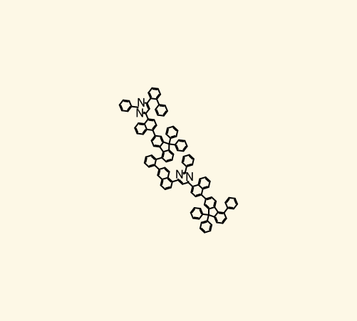 c1ccc(-c2nc(-c3ccccc3-c3ccccc3)cc(-c3ccc(-c4ccc5c(c4)C(c4ccccc4)(c4ccccc4)c4cccc(-c6ccccc6-c6ccc7c(-c8cc(-c9ccc(-c%10ccc%11c(c%10)C(c%10ccccc%10)(c%10ccccc%10)c%10cccc(-c%12ccccc%12)c%10-%11)c%10ccccc9%10)nc(-c9ccccc9)n8)cccc7c6)c4-5)c4ccccc34)n2)cc1